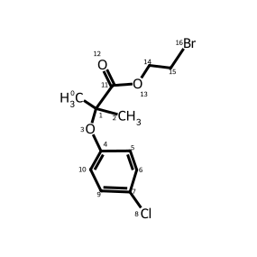 CC(C)(Oc1ccc(Cl)cc1)C(=O)OCCBr